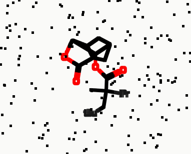 CC(C)C(C)(CC(C)(C)C)C(=O)OC1C2CC3C(=O)OC1C3C2